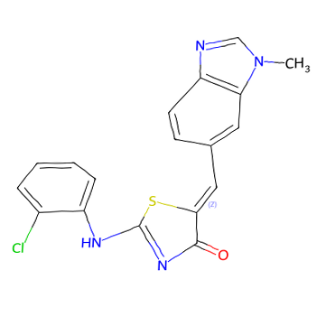 Cn1cnc2ccc(/C=C3\SC(Nc4ccccc4Cl)=NC3=O)cc21